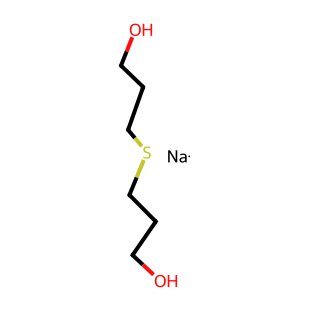 OCCCSCCCO.[Na]